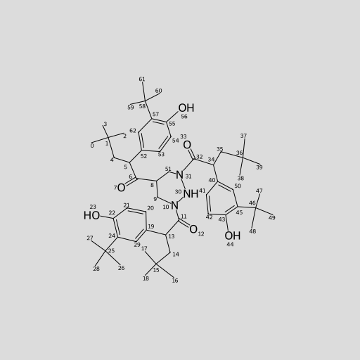 CC(C)(C)CC(C(=O)C1CN(C(=O)C(CC(C)(C)C)c2ccc(O)c(C(C)(C)C)c2)NN(C(=O)C(CC(C)(C)C)c2ccc(O)c(C(C)(C)C)c2)C1)c1ccc(O)c(C(C)(C)C)c1